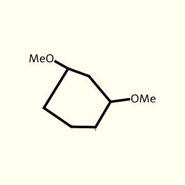 COC1[CH]CCC(OC)C1